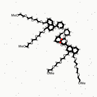 COCCOCCOCCOCc1cccc2cc(-c3cccc([C@@H]4CCC[C@@H](c5cccc(-c6ccc(COCCOCCOCCOC)c7c(COCCOCCOCCOC)cccc67)n5)N4Cc4cccc(C)n4)n3)cc(COCCOCCOCCOC)c12